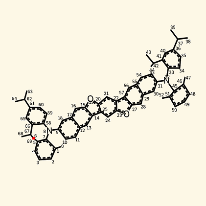 Cc1cccc(C)c1N(c1ccc2cc3c(cc2c1)oc1cc2c(cc13)oc1cc3cc(N(c4ccc(C(C)C)cc4C(C)C)c4c(C)cccc4C)ccc3cc12)c1ccc(C(C)C)cc1C(C)C